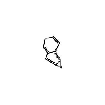 C1=CC2=C3CC3=CC2=CC1